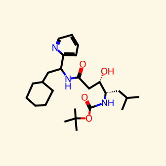 CC(C)C[C@H](NC(=O)OC(C)(C)C)[C@@H](O)CC(=O)NC(CC1CCCCC1)c1ccccn1